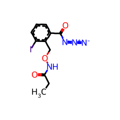 CCC(=O)NOCc1c(I)cccc1C(=O)N=[N+]=[N-]